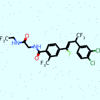 O=C(CNC(=O)c1ccc(/C(F)=C/C(c2ccc(Cl)c(Cl)c2)C(F)(F)F)cc1C(F)(F)F)NCC(F)(F)F